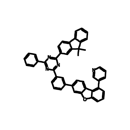 CC1(C)c2ccccc2-c2ccc(-c3nc(-c4ccccc4)nc(-c4cccc(-c5ccc6c(c5)oc5cccc(-c7cccnc7)c56)c4)n3)cc21